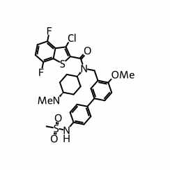 CN[C@H]1CC[C@@H](N(Cc2cc(-c3ccc(NS(C)(=O)=O)cc3)ccc2OC)C(=O)c2sc3c(F)ccc(F)c3c2Cl)CC1